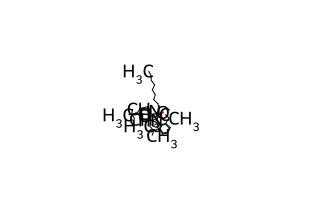 CCCCCCCCN(C(=O)Nc1c(C(C)C)cccc1C(C)C)C1CCC(C(C)(C)C)CC1